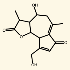 CC1=C2C(=O)C=C(CO)C2C2OC(=O)C(C)C2C(O)C1